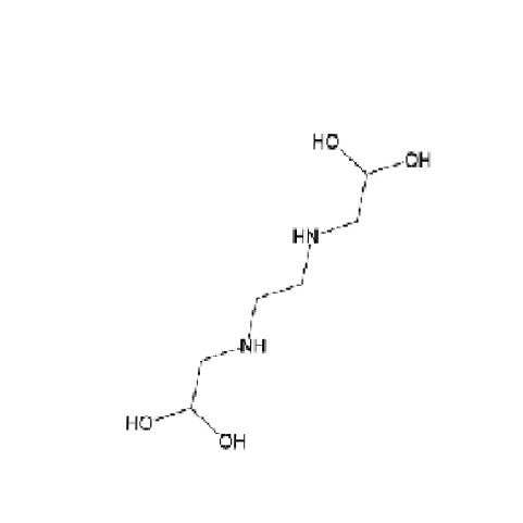 OC(O)CNCCNCC(O)O